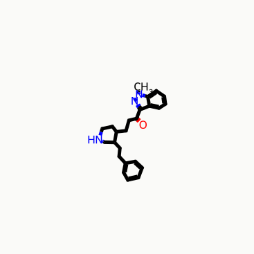 Cn1nc(C(=O)CCC2CCNCC2CCc2ccccc2)c2ccccc21